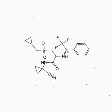 N#CC1(NC(=O)C(CS(=O)(=O)CC2CC2)N[C@H](c2ccccc2)C(F)(F)F)CC1